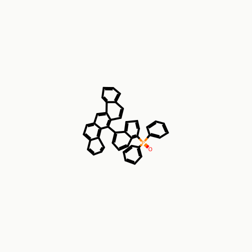 O=P(c1ccccc1)(c1ccccc1)c1cccc2c(-c3c4ccc5ccccc5c4cc4ccc5ccccc5c34)cccc12